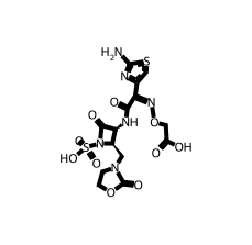 Nc1nc(/C(=N/OCC(=O)O)C(=O)N[C@@H]2C(=O)N(S(=O)(=O)O)[C@@H]2CN2CCOC2=O)cs1